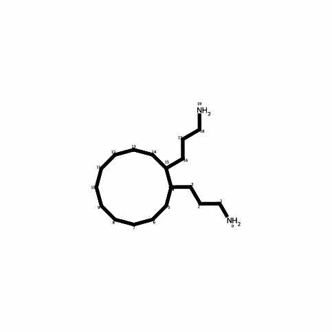 NCCC[C]1CCCCCCCCCCC1CCCN